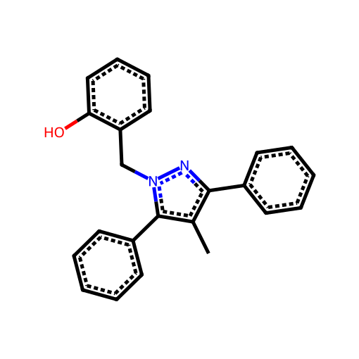 Cc1c(-c2ccccc2)nn(Cc2ccccc2O)c1-c1ccccc1